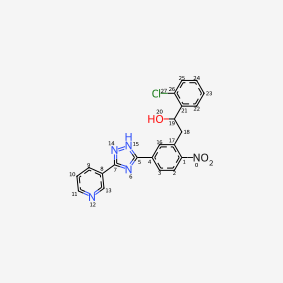 O=[N+]([O-])c1ccc(-c2nc(-c3cccnc3)n[nH]2)cc1CC(O)c1ccccc1Cl